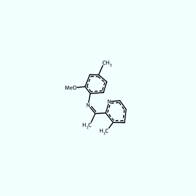 COc1cc(C)ccc1N=C(C)c1ncccc1C